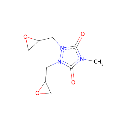 Cn1c(=O)n(CC2CO2)n(CC2CO2)c1=O